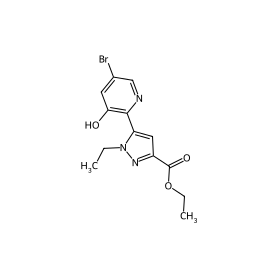 CCOC(=O)c1cc(-c2ncc(Br)cc2O)n(CC)n1